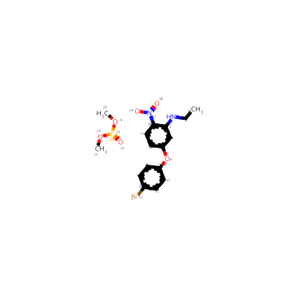 CCNc1cc(Oc2ccc(Br)cc2)ccc1[N+](=O)[O-].CO[PH](=O)OC